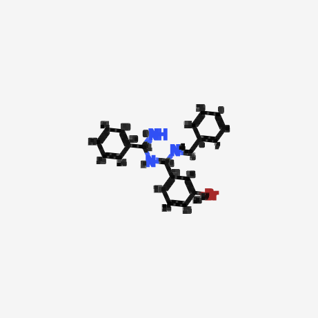 N=C(/N=C(\N=C\c1ccccc1)c1cccc(Br)c1)c1ccccc1